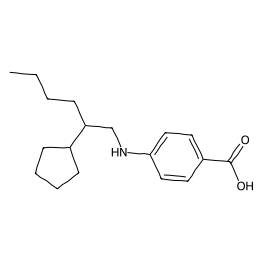 CCCCC(CNc1ccc(C(=O)O)cc1)C1CCCC1